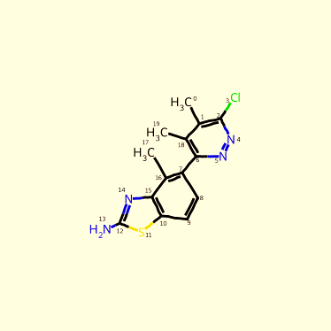 Cc1c(Cl)nnc(-c2ccc3sc(N)nc3c2C)c1C